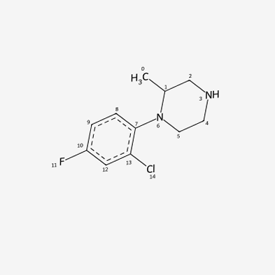 CC1CNCCN1c1ccc(F)cc1Cl